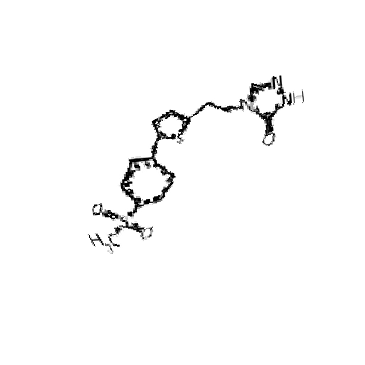 CS(=O)(=O)c1ccc(-c2ccc(CCn3cn[nH]c3=O)s2)cc1